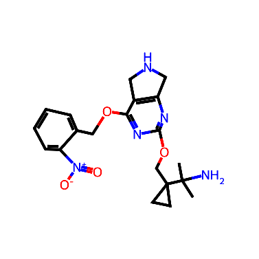 CC(C)(N)C1(COc2nc3c(c(OCc4ccccc4[N+](=O)[O-])n2)CNC3)CC1